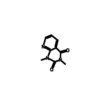 Cn1c(=O)c2cccnc2n(C)c1=O